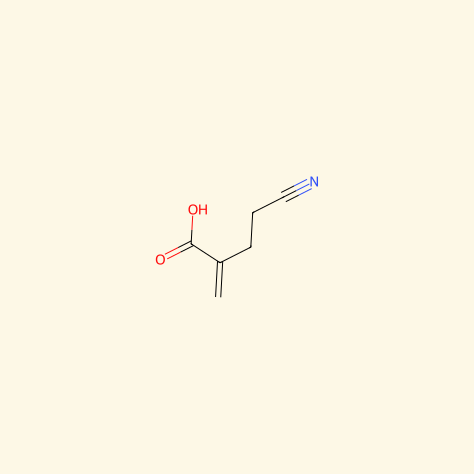 C=C(CCC#N)C(=O)O